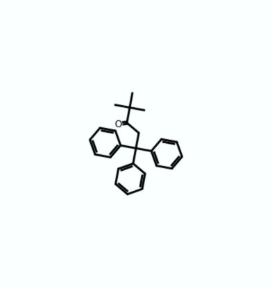 CC(C)(C)C(=O)CC(c1ccccc1)(c1ccccc1)c1ccccc1